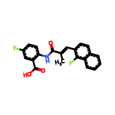 CC(=Cc1ccc2ccccc2c1F)C(=O)Nc1ccc(F)cc1C(=O)O